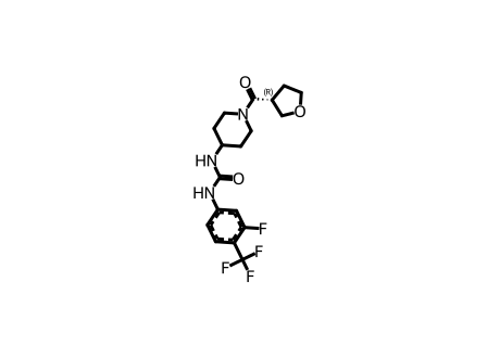 O=C(Nc1ccc(C(F)(F)F)c(F)c1)NC1CCN(C(=O)[C@@H]2CCOC2)CC1